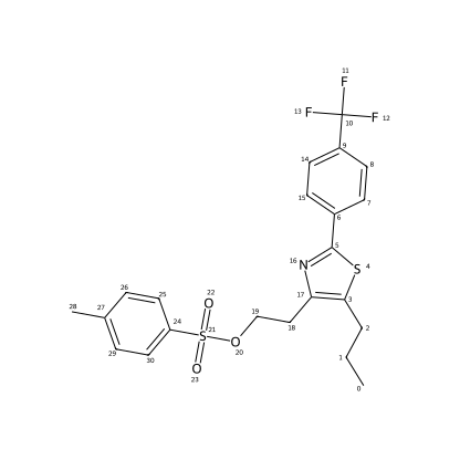 CCCc1sc(-c2ccc(C(F)(F)F)cc2)nc1CCOS(=O)(=O)c1ccc(C)cc1